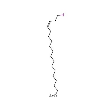 CC(=O)OCCCCCCCCCCCCC/C=C\CCI